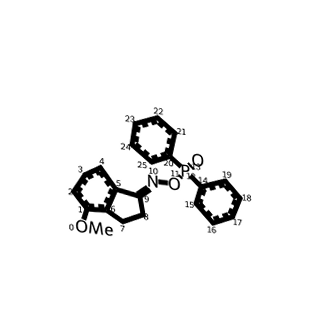 COc1cccc2c1CCC2=NOP(=O)(c1ccccc1)c1ccccc1